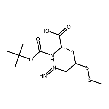 CSSC(CN=N)C[C@H](NC(=O)OC(C)(C)C)C(=O)O